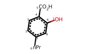 [CH2]CCc1ccc(C(=O)O)c(O)c1